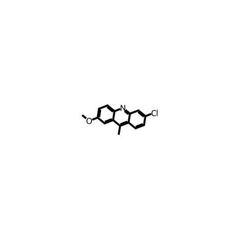 COc1ccc2nc3cc(Cl)ccc3c(C)c2c1